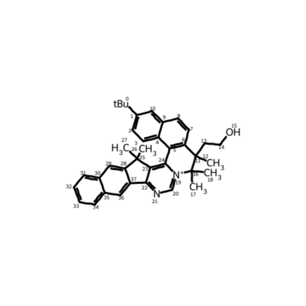 CC(C)(C)c1ccc2c3c(ccc2c1)C(C)(CCO)C(C)(C)[n+]1cnc2c(c1-3)C(C)(C)c1cc3ccccc3cc1-2